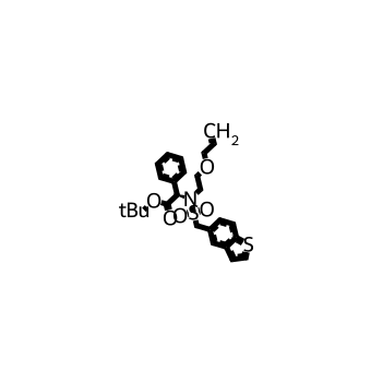 C=CCOCCN([C@@H](C(=O)OC(C)(C)C)c1ccccc1)S(=O)(=O)Cc1ccc2sccc2c1